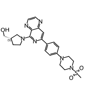 CS(=O)(=O)N1CCN(c2ccc(-c3cc4nccnc4c(N4CC[C@H](CO)C4)n3)cc2)CC1